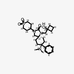 CN(C)[C@]1(c2ccccc2)CC[C@]2(CC1)CN(C1CCS(=O)(=O)CC1)C(=O)N2CC1(O)CCC1